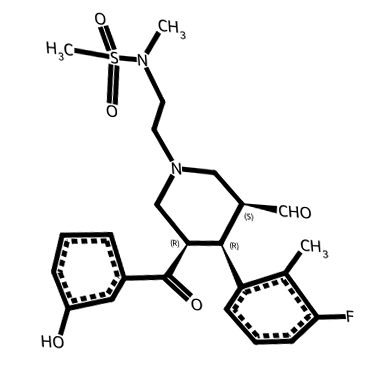 Cc1c(F)cccc1[C@@H]1[C@H](C=O)CN(CCN(C)S(C)(=O)=O)C[C@@H]1C(=O)c1cccc(O)c1